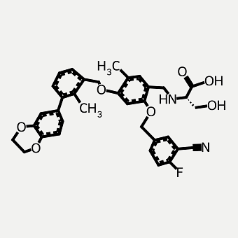 Cc1cc(CN[C@@H](CO)C(=O)O)c(OCc2ccc(F)c(C#N)c2)cc1OCc1cccc(-c2ccc3c(c2)OCCO3)c1C